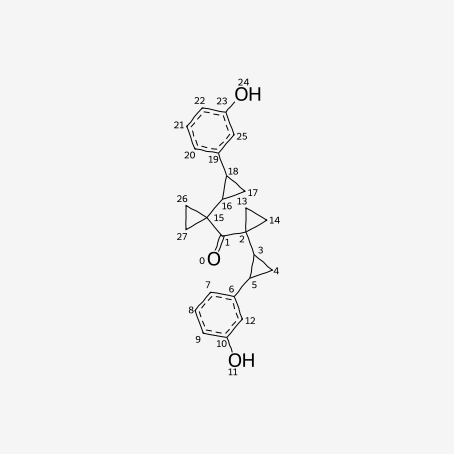 O=C(C1(C2CC2c2cccc(O)c2)CC1)C1(C2CC2c2cccc(O)c2)CC1